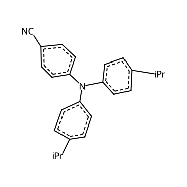 CC(C)c1ccc(N(c2ccc(C#N)cc2)c2ccc(C(C)C)cc2)cc1